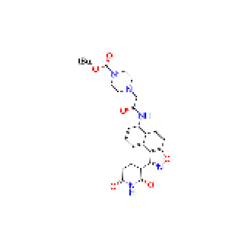 CC(C)(C)OC(=O)N1CCN(CC(=O)Nc2cccc3c2ccc2onc(C4CCC(=O)NC4=O)c23)CC1